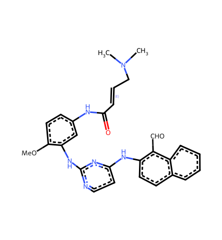 COc1ccc(NC(=O)/C=C/CN(C)C)cc1Nc1nccc(Nc2ccc3ccccc3c2C=O)n1